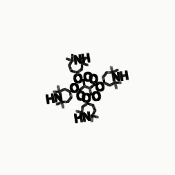 CC1(C)CCC(OC(=O)C(C(=O)OC2CCC(C)(C)NC(C)(C)C2)C(C(=O)OC2CCC(C)(C)NC(C)(C)C2)C(=O)OC2CCC(C)(C)NC(C)(C)C2)CC(C)(C)N1